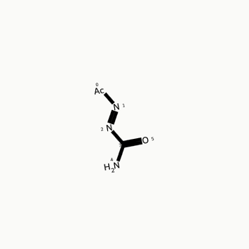 CC(=O)N=NC(N)=O